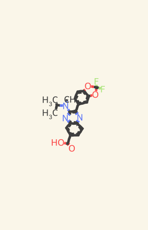 CC(C)N(C)c1nc2cc(C(=O)O)ccc2nc1-c1ccc2c(c1)OC(F)(F)O2